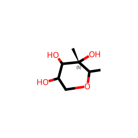 CC1OCC(O)C(O)[C@]1(C)O